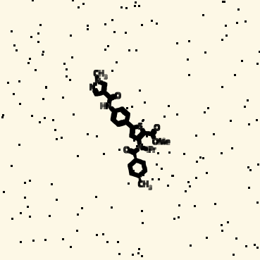 COC(=O)c1sc(-c2ccc(NC(=O)c3cnn(C)c3)cc2)cc1N(C(=O)[C@H]1CC[C@H](C)CC1)C(C)C